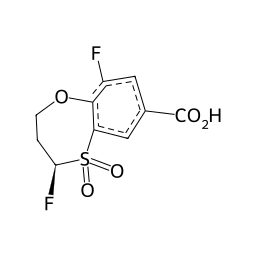 O=C(O)c1cc(F)c2c(c1)S(=O)(=O)[C@@H](F)CCO2